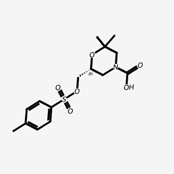 Cc1ccc(S(=O)(=O)OC[C@H]2CN(C(=O)O)CC(C)(C)O2)cc1